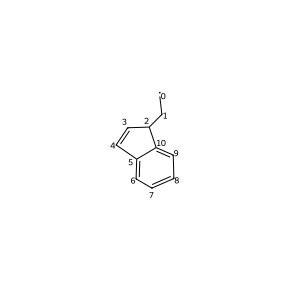 [CH2]CC1C=Cc2ccccc21